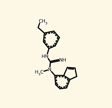 CCc1cccc(NC(=N)N(C)c2cccc3c2C=CC3)c1